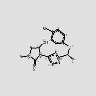 CCC(Oc1ccc(Cl)cc1)c1nnc(N2C(=O)N(C)CC2O)s1